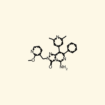 COc1ncccc1Cn1nc2c(-c3cc(C)nc(C)c3)c(-c3ccccc3)nc(N)n2c1=O